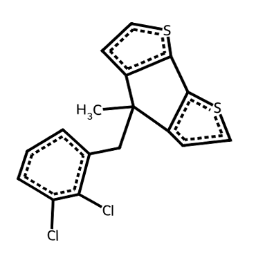 CC1(Cc2cccc(Cl)c2Cl)c2ccsc2-c2sccc21